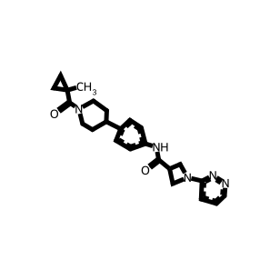 CC1(C(=O)N2CCC(c3ccc(NC(=O)C4CN(c5cccnn5)C4)cc3)CC2)CC1